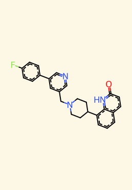 O=c1ccc2cccc(C3CCN(Cc4cncc(-c5ccc(F)cc5)c4)CC3)c2[nH]1